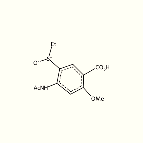 CC[S+]([O-])c1cc(C(=O)O)c(OC)cc1NC(C)=O